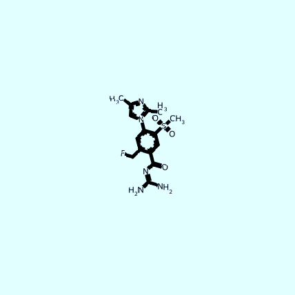 Cc1cn(-c2cc(CF)c(C(=O)N=C(N)N)cc2S(C)(=O)=O)c(C)n1